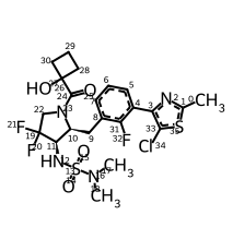 Cc1nc(-c2cccc(C[C@H]3[C@@H](NS(=O)(=O)N(C)C)C(F)(F)CN3C(=O)C3(O)CCC3)c2F)c(Cl)s1